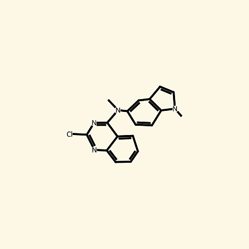 CN(c1ccc2c(ccn2C)c1)c1nc(Cl)nc2ccccc12